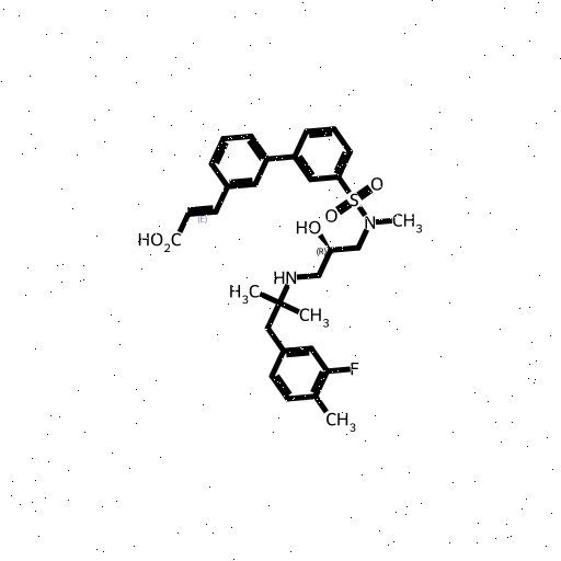 Cc1ccc(CC(C)(C)NC[C@@H](O)CN(C)S(=O)(=O)c2cccc(-c3cccc(/C=C/C(=O)O)c3)c2)cc1F